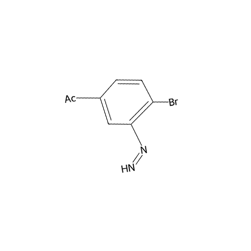 CC(=O)c1ccc(Br)c(N=N)c1